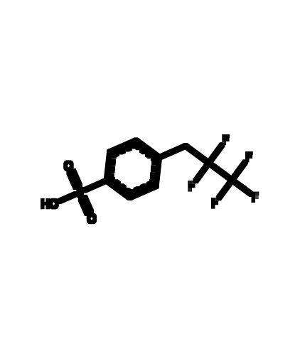 O=S(=O)(O)c1ccc(CC(F)(F)C(F)(F)F)cc1